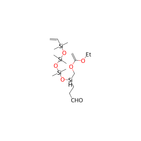 C=C[Si](C)(C)O[Si](C)(C)O[Si](C)(C)O[SiH](CCC=O)COC(=C)OCC